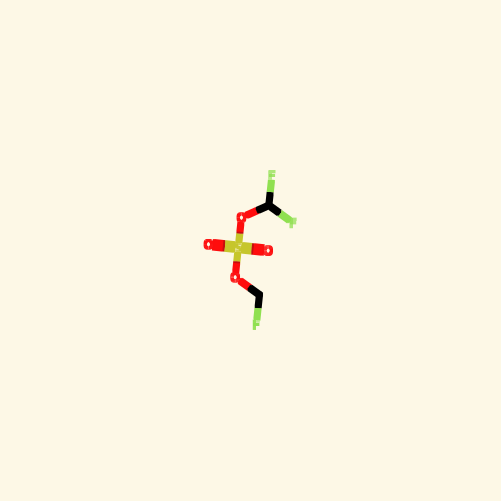 O=S(=O)(OCF)OC(F)F